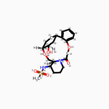 CS(=O)(=O)NC1CCCN2C(=O)COc3ccccc3C3CC[C@@H](OC[C@@H]12)[C@H](O)C3